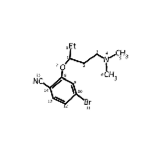 CCC(CCN(C)C)Oc1cc(Br)ccc1C#N